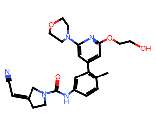 Cc1ccc(NC(=O)N2CC/C(=C/C#N)C2)cc1-c1cc(OCCO)nc(N2CCOCC2)c1